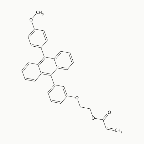 C=CC(=O)OCCOc1cccc(-c2c3ccccc3c(-c3ccc(OC)cc3)c3ccccc23)c1